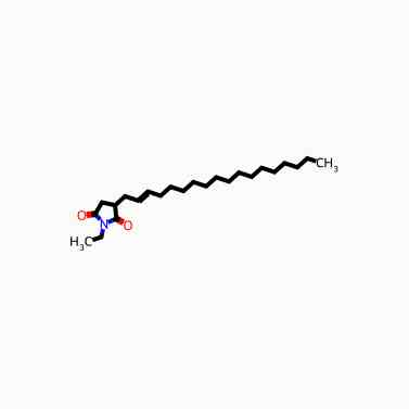 CCCCCCCCCCCCCCCC=CCC1CC(=O)N(CC)C1=O